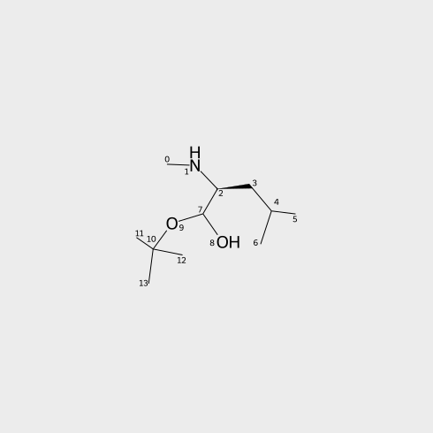 CN[C@@H](CC(C)C)C(O)OC(C)(C)C